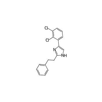 Clc1cccc(-c2c[nH]c(CCc3ccccc3)n2)c1Cl